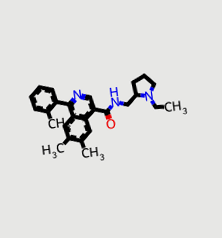 CCN1CCCC1CNC(=O)c1cnc(-c2ccccc2C)c2cc(C)c(C)cc12